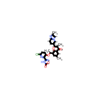 Cc1cc([C@@H](C)Oc2ccc(Cl)nc2-c2noc(=O)[nH]2)c2oc(-c3ccc4nc(C)cn4c3)c(C)c(=O)c2c1